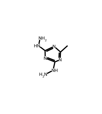 Cc1nc(NN)nc(NN)n1